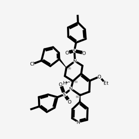 CCOC1=C2CN(S(=O)(=O)c3ccc(C)cc3)[C@H](c3cccc(Cl)c3)C[C@@H]2N(S(=O)(=O)c2ccc(C)cc2)[C@H](c2ccncc2)C1